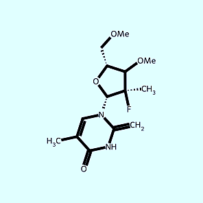 C=C1NC(=O)C(C)=CN1[C@@H]1O[C@H](COC)C(OC)[C@@]1(C)F